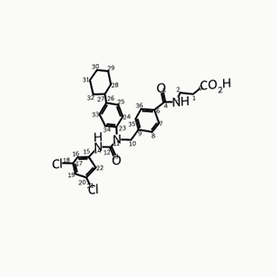 O=C(O)CCNC(=O)c1ccc(CN(C(=O)Nc2cc(Cl)cc(Cl)c2)c2ccc(C3CCCCC3)cc2)cc1